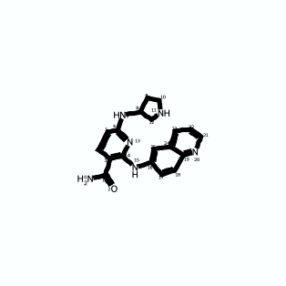 NC(=O)c1ccc(NC2CCNC2)nc1Nc1ccc2ncccc2c1